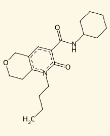 CCCCn1c2c(cc(C(=O)NC3CCCCC3)c1=O)COCC2